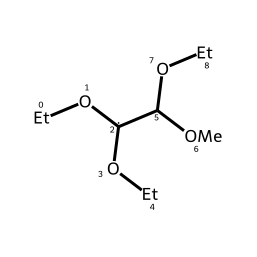 CCO[C](OCC)C(OC)OCC